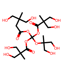 CC(CO)(CO)CC(=O)OC(OC(=O)C(C)(CO)CO)(OC(=O)C(C)(CO)CO)OC(C)(CO)CO